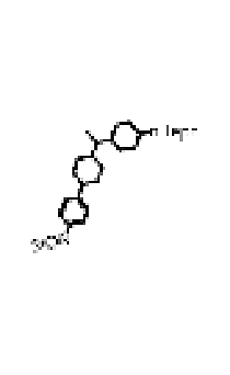 CCCCCCCC1CCC(C(C)C2CCC(c3ccc(N=C=S)cc3)CC2)CC1